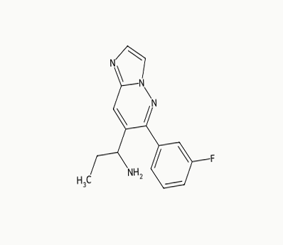 CCC(N)c1cc2nccn2nc1-c1cccc(F)c1